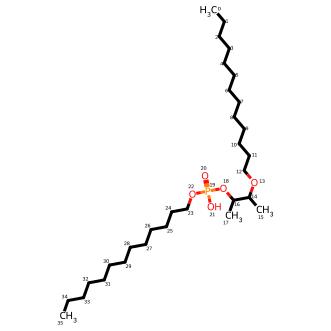 CCCCCCCCCCCCCOC(C)C(C)OP(=O)(O)OCCCCCCCCCCCCC